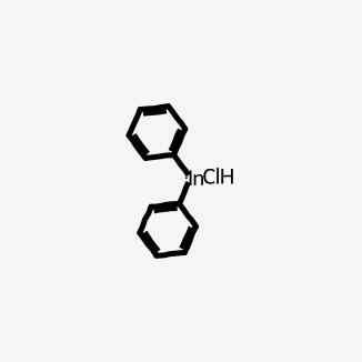 Cl.c1cc[c]([In][c]2ccccc2)cc1